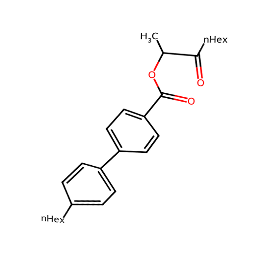 CCCCCCC(=O)C(C)OC(=O)c1ccc(-c2ccc(CCCCCC)cc2)cc1